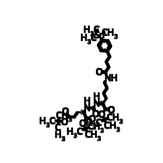 CC(C)(C)OC(=O)CC[C@H](NC(=O)N[C@@H](CCCCNC(=O)CCCc1cc[c]([Sn]([CH3])([CH3])[CH3])cc1)C(=O)OC(C)(C)C)C(=O)OC(C)(C)C